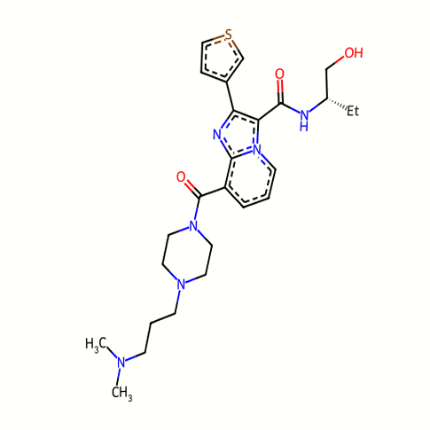 CC[C@@H](CO)NC(=O)c1c(-c2ccsc2)nc2c(C(=O)N3CCN(CCCN(C)C)CC3)cccn12